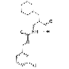 O=C(NSC(CC1CCCCC1)C(=O)O)OCc1cccc(Cl)c1